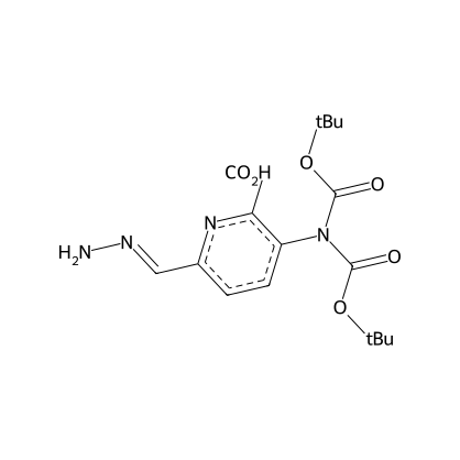 CC(C)(C)OC(=O)N(C(=O)OC(C)(C)C)c1ccc(C=NN)nc1C(=O)O